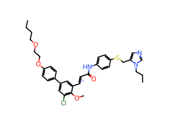 CCCCOCCOc1ccc(-c2cc(Cl)c(OC)c(/C=C/C(=O)Nc3ccc(SCc4cncn4CCC)cc3)c2)cc1